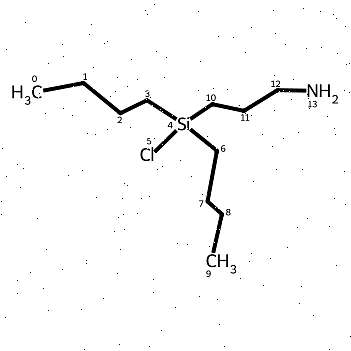 CCCC[Si](Cl)(CCCC)CCCN